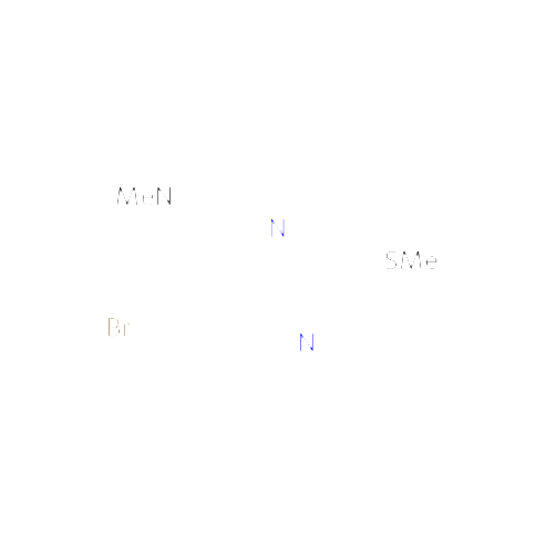 CNc1nc(SC)ncc1Br